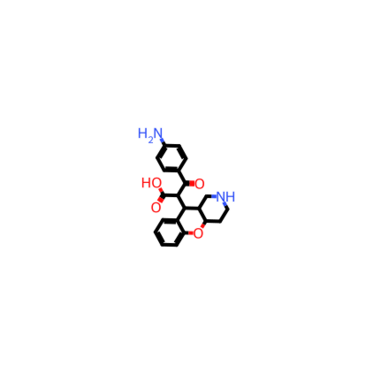 Nc1ccc(C(=O)C(C(=O)O)C2c3ccccc3OC3CCNCC32)cc1